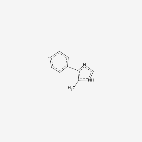 Cc1[nH]cnc1-c1cc[c]cc1